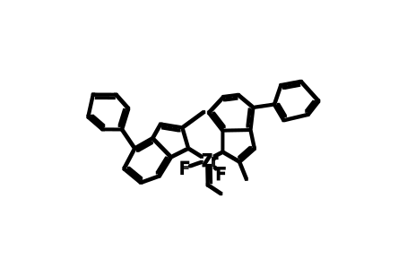 C[CH]=[Zr]([F])([F])([CH]1C(C)=Cc2c(-c3ccccc3)cccc21)[CH]1C(C)=Cc2c(-c3ccccc3)cccc21